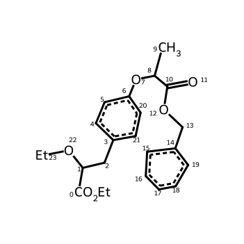 CCOC(=O)C(Cc1ccc(OC(C)C(=O)OCc2ccccc2)cc1)OCC